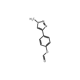 Cn1cc(-c2ccc(OC=O)cc2)nn1